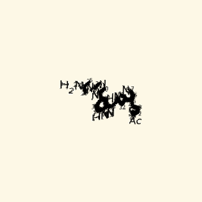 CC(=O)c1ccc(-c2ccnc3[nH]c(-c4n[nH]c5ccc(-c6cncc(N7CC(N)C7)n6)cc45)cc23)s1